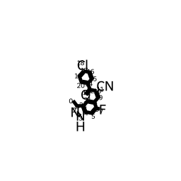 Cc1n[nH]c2cc(F)c(C=C(C#N)C(=O)c3ccc(Cl)cc3)cc12